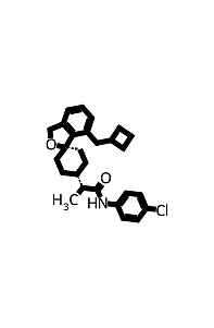 CC(C(=O)Nc1ccc(Cl)cc1)[C@H]1CC[C@]2(CC1)OCc1cccc(CC3CCC3)c12